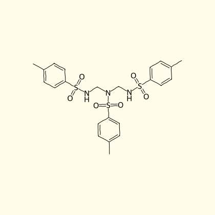 Cc1ccc(S(=O)(=O)NCN(CNS(=O)(=O)c2ccc(C)cc2)S(=O)(=O)c2ccc(C)cc2)cc1